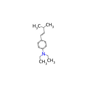 CCN(CC)c1ccc(/C=C/C(C)C)cc1